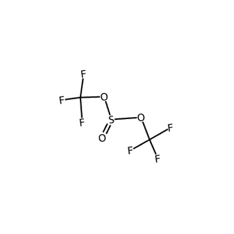 O=S(OC(F)(F)F)OC(F)(F)F